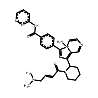 CN(C)C/C=C/C(=O)N1CCCCC1C1=C2C=NC=C[N+]2(N)C(c2ccc(C(=O)Nc3cccnn3)cc2)=N1